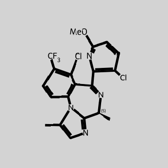 COc1ccc(Cl)c(C2=N[C@@H](C)c3ncc(C)n3-c3ccc(C(F)(F)F)c(Cl)c32)n1